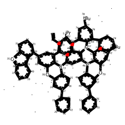 C=CC([C@@H](C)C(C)C)N1c2cc3c(cc2B2c4ccc(-c5ccccc5)cc4Oc4cc(-c5cccc6oc7ccccc7c56)cc1c42)B1c2ccc(-c4ccccc4)cc2Oc2cc(C(C)(C)C)cc(c21)N3c1c(-c2ccccc2)cc(C(C)(C)C)cc1-c1ccccc1